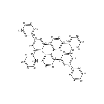 c1ccc(-c2cc(-c3ccccc3)cc(-c3ccccc3-c3ccc(-c4cc(-c5cccnc5)cc(-c5ccccn5)c4)cc3)c2)cc1